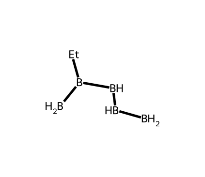 BBBB(B)CC